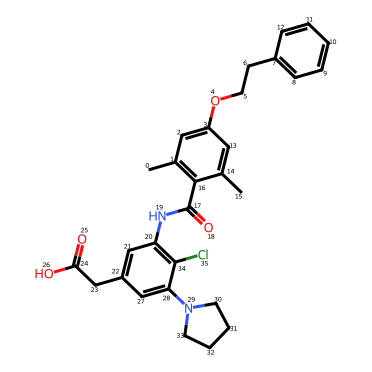 Cc1cc(OCCc2ccccc2)cc(C)c1C(=O)Nc1cc(CC(=O)O)cc(N2CCCC2)c1Cl